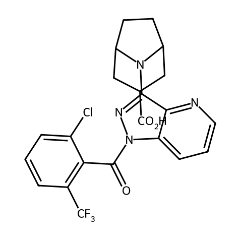 O=C(O)C1CC2CCC(C1)N2c1nn(C(=O)c2c(Cl)cccc2C(F)(F)F)c2cccnc12